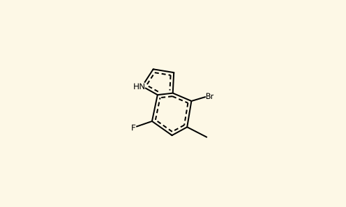 Cc1cc(F)c2[nH]ccc2c1Br